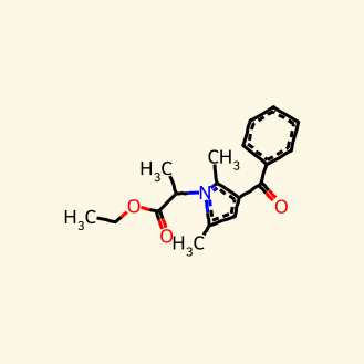 CCOC(=O)C(C)n1c(C)cc(C(=O)c2ccccc2)c1C